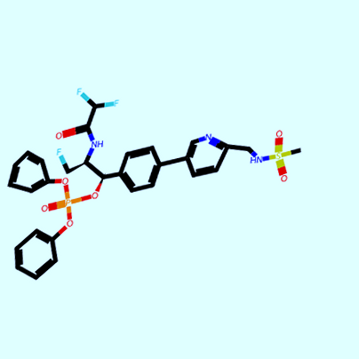 CS(=O)(=O)NCc1ccc(-c2ccc([C@@H](OP(=O)(Oc3ccccc3)Oc3ccccc3)[C@@H](CF)NC(=O)C(F)F)cc2)cn1